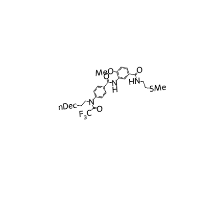 CCCCCCCCCCCCN(C(=O)C(F)(F)F)c1ccc(C(=O)Nc2cc(C(=O)NCCSC)ccc2OC)cc1